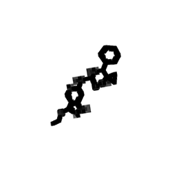 CCOc1n[nH]c2cc(NC(=O)N[C@@H](c3ccccc3)C3(O)CC3)ncc12